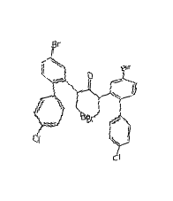 O=C(C(CBr)c1cc(Br)ccc1-c1ccc(Cl)cc1)C(CBr)c1cc(Br)ccc1-c1ccc(Cl)cc1